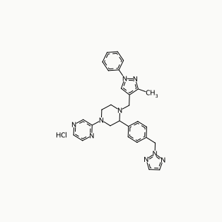 Cc1nn(-c2ccccc2)cc1CN1CCN(c2cnccn2)CC1c1ccc(Cn2nccn2)cc1.Cl